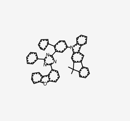 CC1(C)c2ccccc2-c2cc3c4ccccc4n(-c4ccc(-c5ccccc5)c(-c5nc(-c6ccccc6)nc(-c6cccc7oc8ccccc8c67)n5)c4)c3cc21